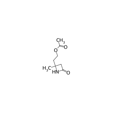 CC(=O)OCCC1(C)CC(=O)N1